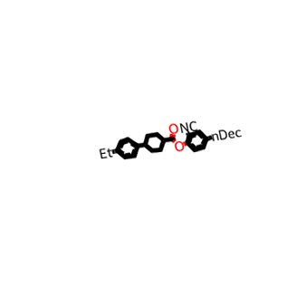 CCCCCCCCCCc1ccc(OC(=O)C2CCC(c3ccc(CC)cc3)CC2)c(C#N)c1